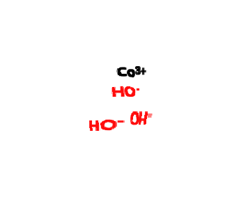 [Co+3].[OH-].[OH-].[OH-]